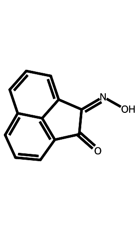 O=C1C(=NO)c2cccc3cccc1c23